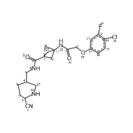 N#CC1CCC(CNC(=O)C23CC(NC(=O)COc4ccc(Cl)c(F)c4)(C2)C3)CN1